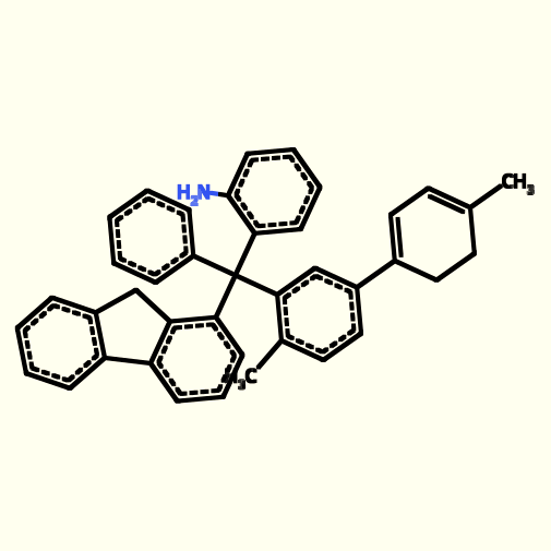 CC1=CC=C(c2ccc(C)c(C(c3ccccc3)(c3ccccc3N)c3cccc4c3Cc3ccccc3-4)c2)CC1